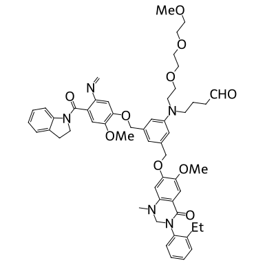 C=Nc1cc(OCc2cc(COc3cc4c(cc3OC)C(=O)N(c3ccccc3CC)CN4C)cc(N(CCCC=O)CCOCCOCCOC)c2)c(OC)cc1C(=O)N1CCc2ccccc21